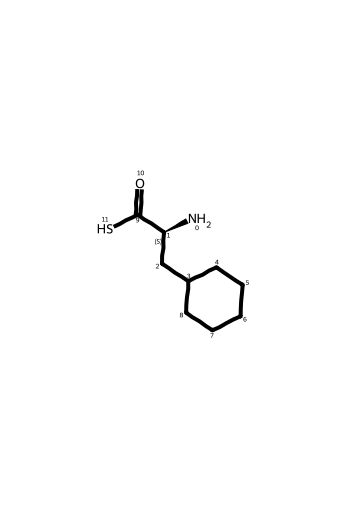 N[C@@H](CC1CCCCC1)C(=O)S